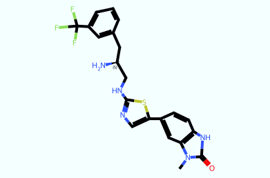 Cn1c(=O)[nH]c2ccc(-c3cnc(NC[C@@H](N)Cc4cccc(C(F)(F)F)c4)s3)cc21